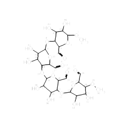 COC1OC(C=O)C(OC2OC(C=O)C(OC3OC(C=O)C(OC4OC(C=O)C(OC)C(O)C4O)C(O)C3O)C(O)C2O)C(O)C1O